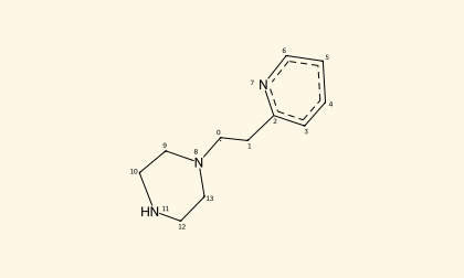 [CH](Cc1ccccn1)N1CCNCC1